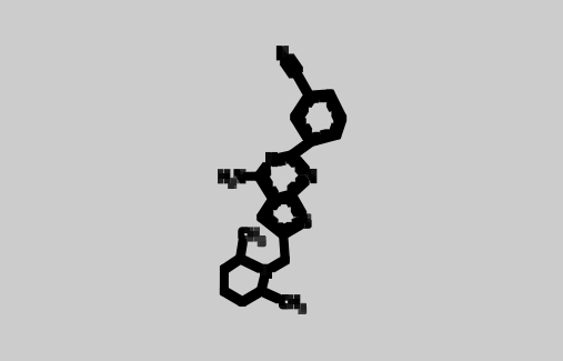 CC1CCCC(C)N1Cc1cc2c(N)nc(-c3cccc(C#N)c3)nc2s1